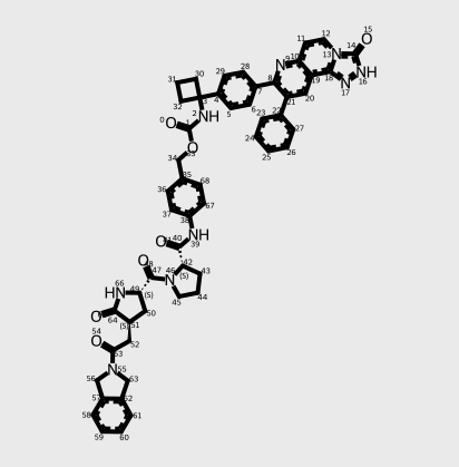 O=C(NC1(c2ccc(-c3nc4ccn5c(=O)[nH]nc5c4cc3-c3ccccc3)cc2)CCC1)OCc1ccc(NC(=O)[C@@H]2CCCN2C(=O)[C@@H]2C[C@@H](CC(=O)N3Cc4ccccc4C3)C(=O)N2)cc1